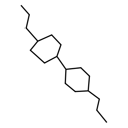 CC[CH]C1CCC(C2CCC(CCC)CC2)CC1